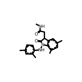 CNC(=O)CC1C(=O)N(Nc2ccc(C)cc2C)c2c(C)cc(C)cc21